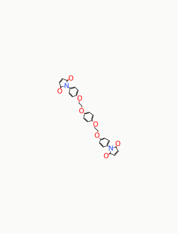 O=C1C=CC(=O)N1c1ccc(OCCOc2ccc(OCCOc3ccc(N4C(=O)C=CC4=O)cc3)cc2)cc1